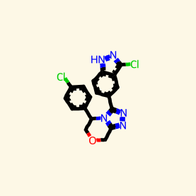 Clc1ccc(C2COCc3nnc(-c4ccc5[nH]nc(Cl)c5c4)n32)cc1